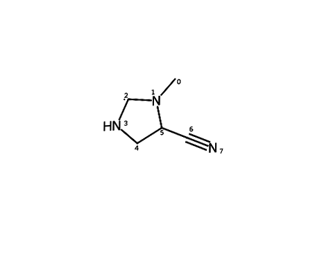 CN1[CH]NCC1C#N